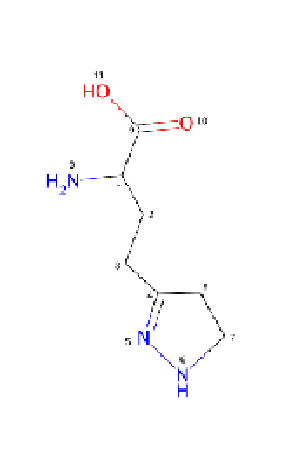 NC(CCC1=NNCC1)C(=O)O